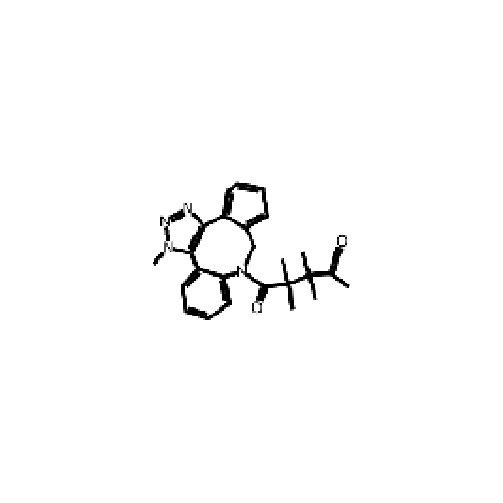 CC(=O)C(C)(C)C(C)(C)C(=O)N1Cc2ccccc2-c2nnn(C)c2-c2ccccc21